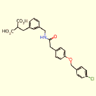 O=C(Cc1ccc(OCc2ccc(Cl)cc2)cc1)NCc1cccc(CC(C(=O)O)C(=O)O)c1